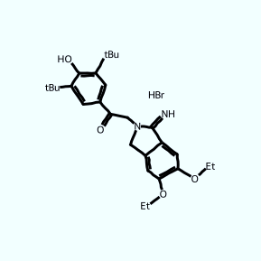 Br.CCOc1cc2c(cc1OCC)C(=N)N(CC(=O)c1cc(C(C)(C)C)c(O)c(C(C)(C)C)c1)C2